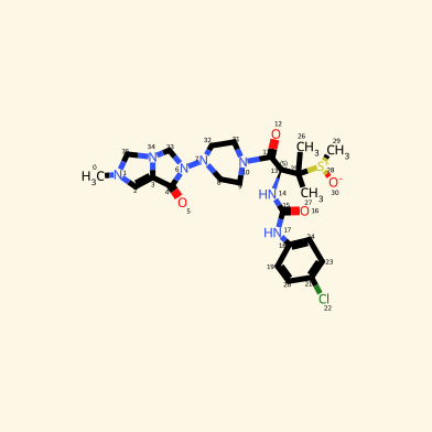 CN1C=C2C(=O)N(N3CCN(C(=O)[C@H](NC(=O)Nc4ccc(Cl)cc4)C(C)(C)[S+](C)[O-])CC3)CN2C1